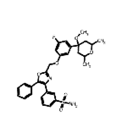 COC1(c2cc(F)cc(OCc3nc(-c4cccc(S(N)(=O)=O)c4)c(-c4ccccc4)o3)c2)CC(C)OC(C)C1